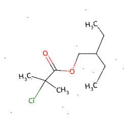 CCC(CC)COC(=O)C(C)(C)Cl